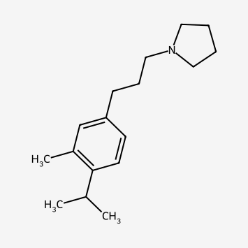 Cc1cc(CCCN2CCCC2)ccc1C(C)C